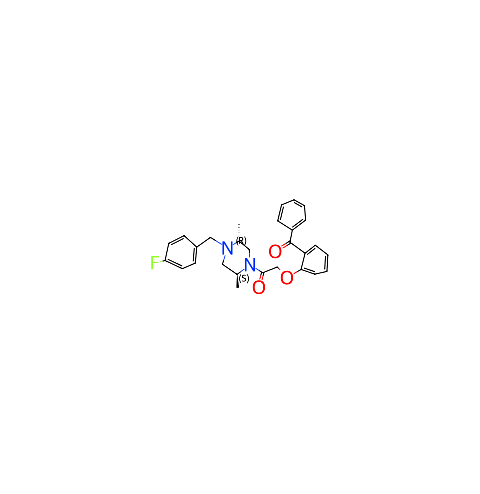 C[C@@H]1CN(C(=O)COc2ccccc2C(=O)c2ccccc2)[C@@H](C)CN1Cc1ccc(F)cc1